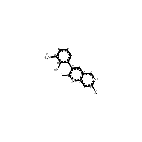 Cc1nc2cc(Cl)ncc2cc1-c1cccc(N)c1F